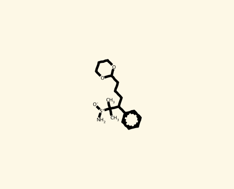 CC(C)(C(CCCC1OCCCO1)c1ccccc1)[S+](N)[O-]